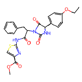 CCOc1ccc(C2NC(=O)N(C(Cc3ccccc3)C(=O)Nc3nc(C(=O)OC)cs3)C2=O)cc1